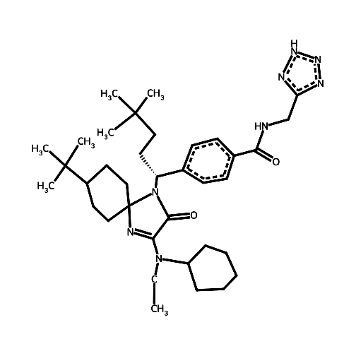 CCN(C1=NC2(CCC(C(C)(C)C)CC2)N([C@H](CCC(C)(C)C)c2ccc(C(=O)NCc3nn[nH]n3)cc2)C1=O)C1CCCCC1